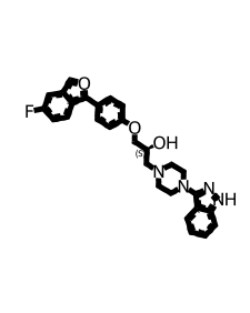 O[C@H](COc1ccc(-c2occ3cc(F)ccc23)cc1)CN1CCN(c2n[nH]c3ccccc23)CC1